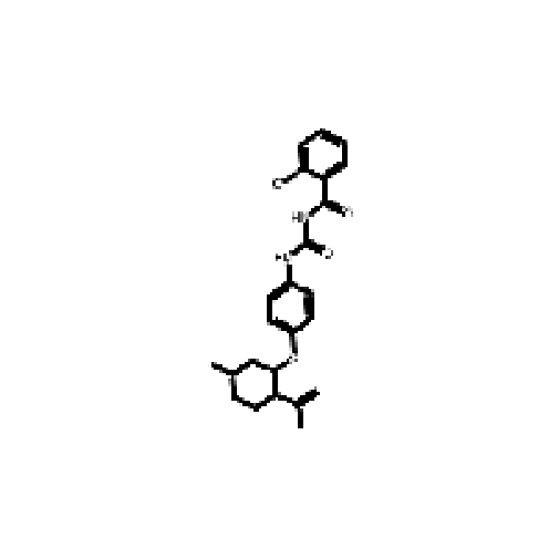 C=C(C)C1CCC(C)CC1Oc1ccc(NC(=O)NC(=O)c2ccccc2Cl)cc1